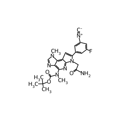 [C-]#[N+]c1cc(F)cc(-c2cc3c4c(ncn4C)c(N(C)C(=O)OC(C)(C)C)nc3n2CC(N)=O)c1